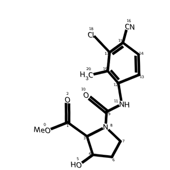 COC(=O)C1C(O)CCN1C(=O)Nc1ccc(C#N)c(Cl)c1C